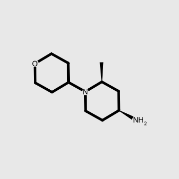 C[C@H]1C[C@@H](N)CCN1C1CCOCC1